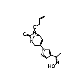 C=CCON1C(=O)N2CC(n3cc(/C(C)=N\O)cn3)=CC1C2